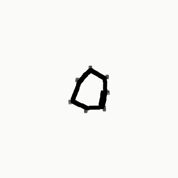 [C]1=CCCCCC1